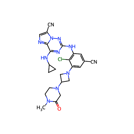 CN1CCN(C2CN(c3cc(C#N)cc(Nc4nc(NC5CC5)c5ncc(C#N)n5n4)c3Cl)C2)CC1=O